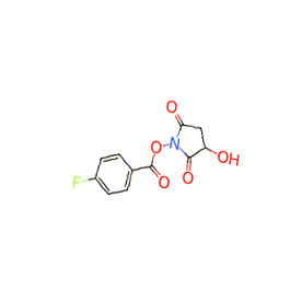 O=C(ON1C(=O)CC(O)C1=O)c1ccc(F)cc1